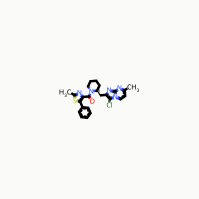 Cc1ccn2c(Cl)c(C[C@@H]3CCCCN3C(=O)c3nc(C)sc3-c3ccccc3)nc2n1